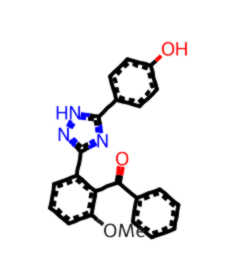 COc1cccc(-c2n[nH]c(-c3ccc(O)cc3)n2)c1C(=O)c1ccccc1